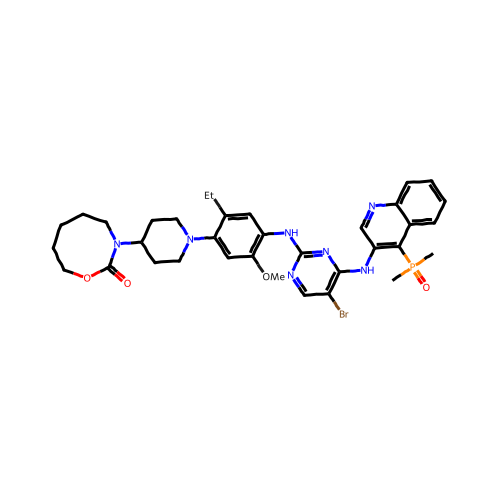 CCc1cc(Nc2ncc(Br)c(Nc3cnc4ccccc4c3P(C)(C)=O)n2)c(OC)cc1N1CCC(N2CCCCCOC2=O)CC1